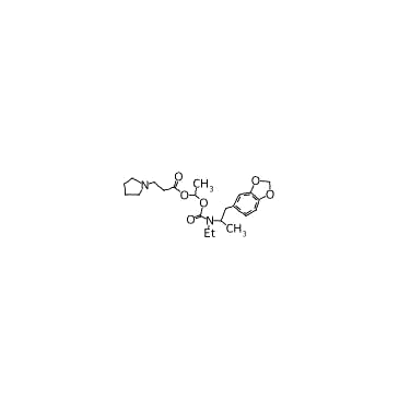 CCN(C(=O)OC(C)OC(=O)CCN1CCCC1)C(C)Cc1ccc2c(c1)OCO2